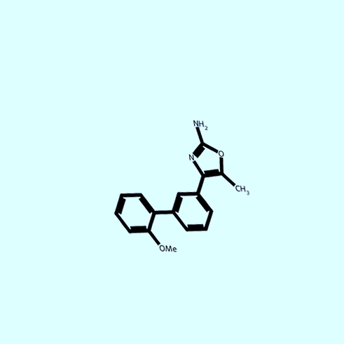 COc1ccccc1-c1cccc(-c2nc(N)oc2C)c1